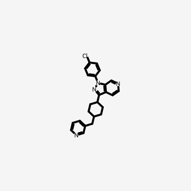 Clc1ccc(-n2nc(C3CCC(Cc4cccnc4)CC3)c3ccncc32)cc1